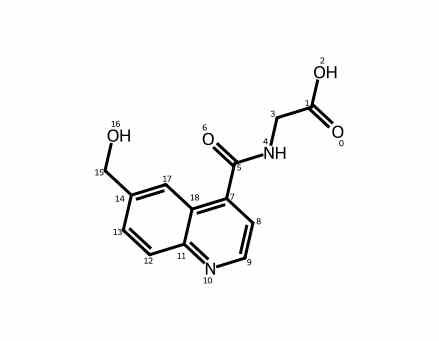 O=C(O)CNC(=O)c1ccnc2ccc(CO)cc12